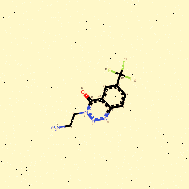 NCCn1nnc2ccc(C(F)(F)F)cc2c1=O